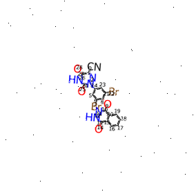 N#Cc1nn(-c2cc(Br)c(Oc3n[nH]c(=O)c4ccccc34)c(Br)c2)c(=O)[nH]c1=O